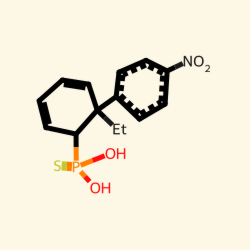 CCC1(c2ccc([N+](=O)[O-])cc2)C=CC=CC1P(O)(O)=S